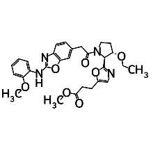 CCO[C@H]1CCN(C(=O)Cc2ccc3nc(Nc4ccccc4OC)oc3c2)[C@@H]1c1ncc(CCC(=O)OC)o1